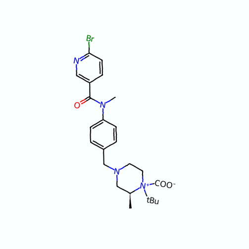 C[C@H]1CN(Cc2ccc(N(C)C(=O)c3ccc(Br)nc3)cc2)CC[N+]1(C(=O)[O-])C(C)(C)C